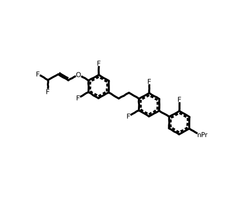 CCCc1ccc(-c2cc(F)c(CCc3cc(F)c(O/C=C/C(F)F)c(F)c3)c(F)c2)c(F)c1